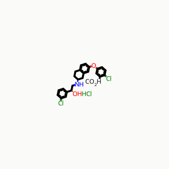 Cl.O=C(O)c1cc(Oc2ccc3c(c2)C[C@@H](NC[C@H](O)c2cccc(Cl)c2)CC3)ccc1Cl